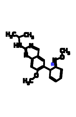 CO/N=C1\C=CC=CC1c1cc2cnc(NC(C)C)nc2cc1OC